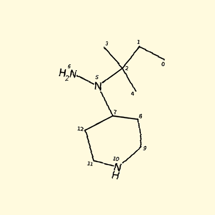 CCC(C)(C)N(N)C1CCNCC1